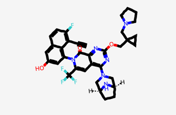 C#Cc1c(F)ccc2cc(O)cc(-n3c(C(F)(F)F)cc4c(N5C[C@H]6CC[C@@H](C5)N6)nc(OCC5(CN6CCCC6)CC5)nc4c3=O)c12